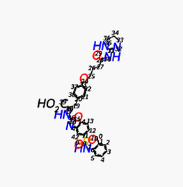 Cc1ccccc1NS(=O)(=O)c1ccc2oc(N[C@@H](Cc3ccc(OCCCC(=O)NC4=NCCCN4)cc3)C(=O)O)nc2c1